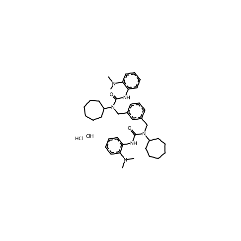 CN(C)c1ccccc1NC(=O)N(Cc1cccc(CN(C(=O)Nc2ccccc2N(C)C)C2CCCCCC2)c1)C1CCCCCC1.Cl.Cl